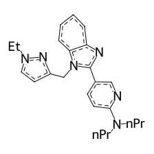 CCCN(CCC)c1ccc(-c2nc3ccccc3n2Cc2ccn(CC)n2)cn1